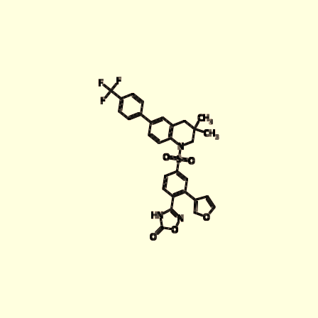 CC1(C)Cc2cc(-c3ccc(C(F)(F)F)cc3)ccc2N(S(=O)(=O)c2ccc(-c3noc(=O)[nH]3)c(-c3ccoc3)c2)C1